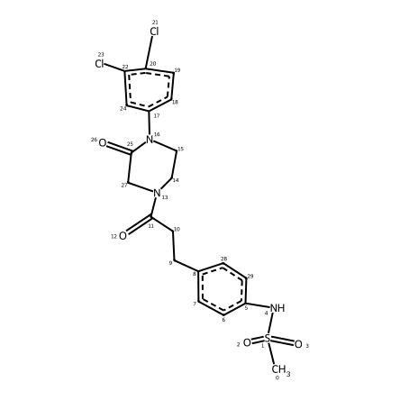 CS(=O)(=O)Nc1ccc(CCC(=O)N2CCN(c3ccc(Cl)c(Cl)c3)C(=O)C2)cc1